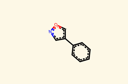 [c]1oncc1-c1ccccc1